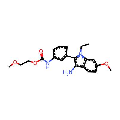 CCn1c(-c2cccc(NC(=O)OCCOC)c2)c(N)c2ccc(OC)cc21